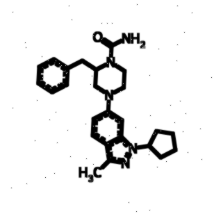 Cc1nn(C2CCCC2)c2cc(N3CCN(C(N)=O)C(Cc4ccccc4)C3)ccc12